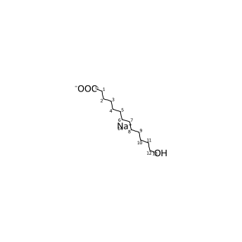 O=C([O-])CCCCCCCCCCCCO.[Na+]